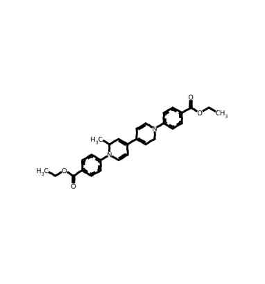 CCOC(=O)c1ccc(N2C=CC(C3=CC(C)N(c4ccc(C(=O)OCC)cc4)C=C3)=CC2)cc1